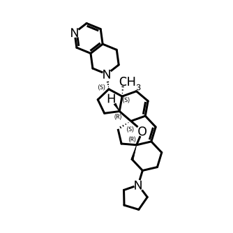 C[C@]12CC=C3C=C4CCC(N5CCCC5)C[C@]45CC[C@]3(O5)[C@@H]1CC[C@@H]2N1CCc2ccncc2C1